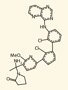 COc1nc(-c2cccc(-c3cccc(Nc4ncnc5cccnc45)c3Cl)c2Cl)ccc1C(C)(N)N1CCCC1=O